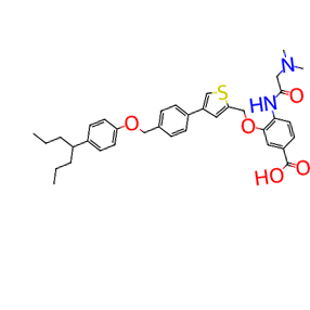 CCCC(CCC)c1ccc(OCc2ccc(-c3csc(COc4cc(C(=O)O)ccc4NC(=O)CN(C)C)c3)cc2)cc1